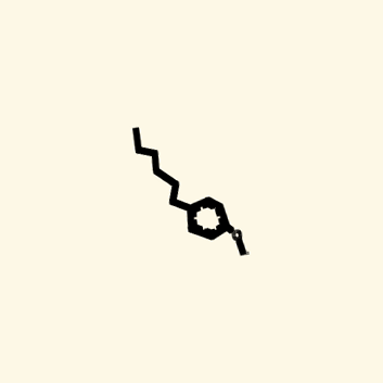 [CH2]Oc1ccc(CCCCCC)cc1